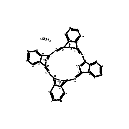 [SbH3].c1ccc2c(c1)-c1nc-2nc2[nH]c(nc3nc(nc4[nH]c(n1)c1ccccc41)-c1ccccc1-3)c1ccccc21